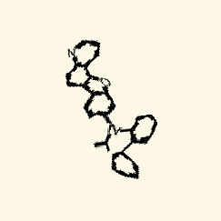 CC(C)N(c1ccc2c(c1)oc1c3cccnc3ccc21)c1ccccc1-c1ccccc1